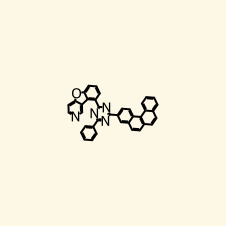 c1ccc(-c2nc(-c3ccc4c(ccc5ccc6ccccc6c54)c3)nc(-c3cccc4oc5ccncc5c34)n2)cc1